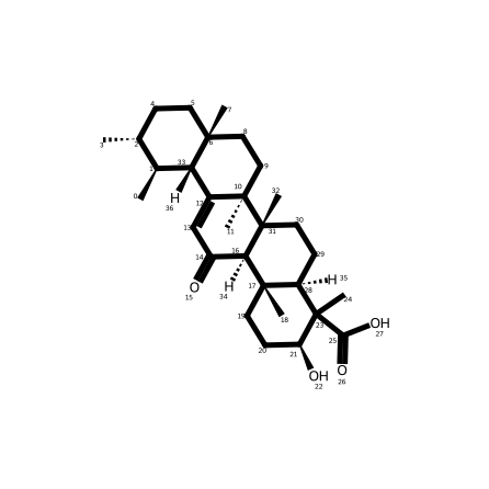 C[C@H]1[C@H](C)CC[C@]2(C)CC[C@]3(C)C(=CC(=O)[C@@H]4[C@@]5(C)CC[C@H](O)C(C)(C(=O)O)[C@@H]5CC[C@]43C)[C@H]12